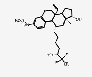 C=CC12CCc3cc(NS(=O)(=O)O)ccc3C1[C@@H](CCCC[C@@H](O)C(F)(F)C(F)(F)F)C[C@@]1(C)C2CC[C@@H]1O